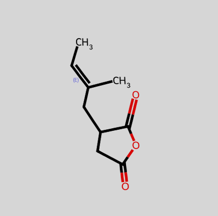 C/C=C(\C)CC1CC(=O)OC1=O